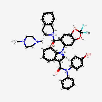 CN1CCN(C[C@@H]2Cc3ccccc3CN2C(=O)c2cc3c(cc2-n2cc(C(=O)N(c4ccccc4)c4ccc(O)cc4)c4ccccc42)OC(F)(F)O3)CC1